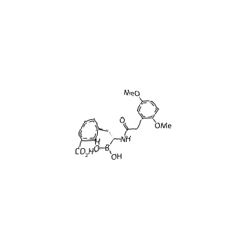 COc1ccc(OC)c(CC(=O)N[C@@H](Cc2cccc(C(=O)O)c2)B(O)O)c1